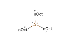 CCCCCCCC[S+](CCCCCCCC)CCCCCCCC